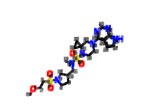 COCCS(=O)(=O)N1CCC(CN(C)S(=O)(=O)N2CCN(c3ncnc4[nH]ccc34)CC23CC3)C1